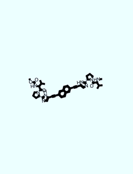 CNC(C(=O)N1CCC[C@H]1c1ncc(C#Cc2ccc3cc(C#Cc4cnc([C@@H]5CCCN5C(=O)C(NC(=O)OC)C(C)C)[nH]4)ccc3c2)[nH]1)C(C)C